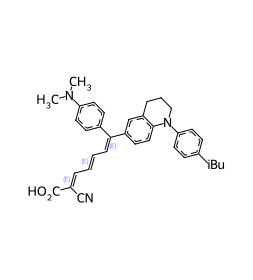 CCC(C)c1ccc(N2CCCc3cc(/C(=C/C=C/C=C(\C#N)C(=O)O)c4ccc(N(C)C)cc4)ccc32)cc1